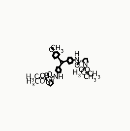 COc1ccc(C2C(c3ccc(NC(=O)[C@@H]4CCCN4C(=O)OC(C)(C)C)cc3)C2c2ccc(NC(=O)[C@@H]3CCCN3C(=O)OC(C)(C)C)cc2)cc1